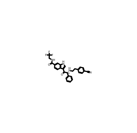 N#Cc1ccc(CCN[C@@H](C(=O)c2c[nH]c3cc(C(=O)NCC(F)(F)F)ccc23)c2ccccc2)cc1